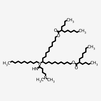 CCCCCCCCCCN(C(=N)CCCN(C)C)C(CCCCCCCCCOC(=O)C(CCCC)CCCCCC)CCCCCCCCCOC(=O)C(CCCC)CCCCCC